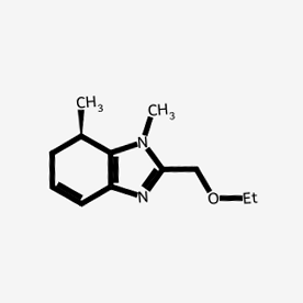 CCOCc1nc2c(n1C)[C@H](C)CC=C2